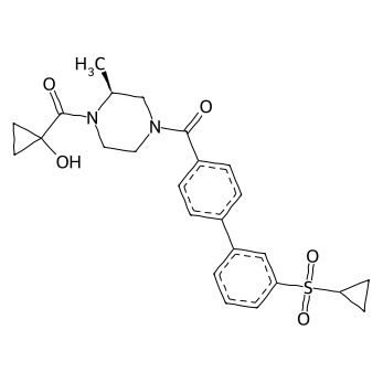 C[C@H]1CN(C(=O)c2ccc(-c3cccc(S(=O)(=O)C4CC4)c3)cc2)CCN1C(=O)C1(O)CC1